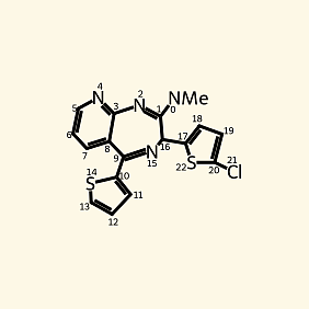 CNC1=Nc2ncccc2C(c2cccs2)=NC1c1ccc(Cl)s1